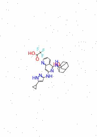 O=C(O)C(F)(F)F.OC12CC3CC(C1)C(Nc1nc(Nc4cc(C5CC5)[nH]n4)cc4ncccc14)C(C3)C2